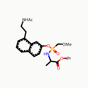 COCP(=O)(NC(C)C(=O)OC(C)C)Oc1ccc2cccc(CCNC(C)=O)c2c1